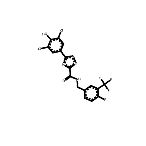 O=C(NCc1ccc(F)c(C(F)(F)F)c1)c1nc(-c2cc(Cl)c(O)c(Cl)c2)no1